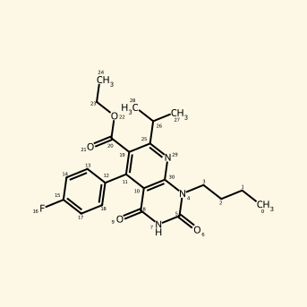 CCCCn1c(=O)[nH]c(=O)c2c(-c3ccc(F)cc3)c(C(=O)OCC)c(C(C)C)nc21